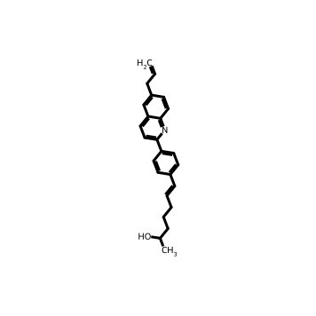 C=CCc1ccc2nc(-c3ccc(C=CCCCC(C)O)cc3)ccc2c1